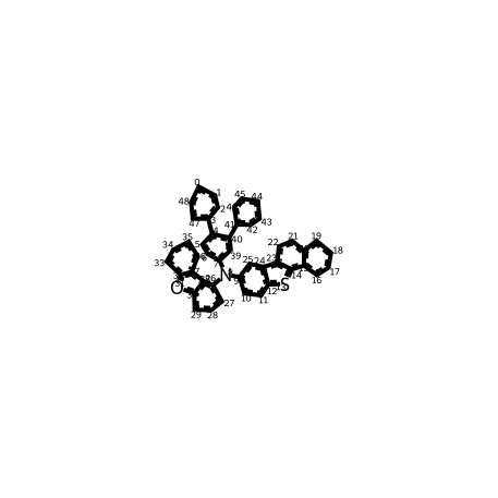 c1ccc(-c2ccc(N(c3ccc4sc5c6ccccc6ccc5c4c3)c3cccc4oc5ccccc5c34)cc2-c2ccccc2)cc1